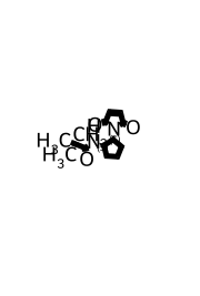 CC(C)(C)C(=O)N[C@H]1CCC[C@@H]1N1C(=O)C=CC1=O